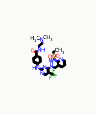 CCS(=O)(=O)Nc1ncccc1CNc1nc(Nc2ccc(C(=O)NCCN(C)C)cc2)ncc1C(F)(F)F